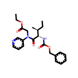 CCOC(=O)CN(C(=O)[C@@H](NC(=O)OCc1ccccc1)[C@@H](C)CC)c1cccnc1